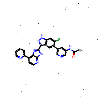 CC(C)(C)C(=O)Nc1cncc(-c2cc3c(-c4nc5c(-c6ccccn6)ccnc5[nH]4)n[nH]c3cc2F)c1